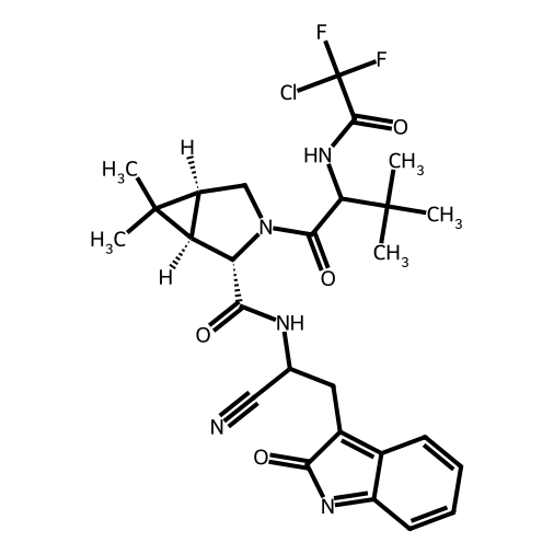 CC(C)(C)C(NC(=O)C(F)(F)Cl)C(=O)N1C[C@H]2[C@@H]([C@H]1C(=O)NC(C#N)CC1=c3ccccc3=NC1=O)C2(C)C